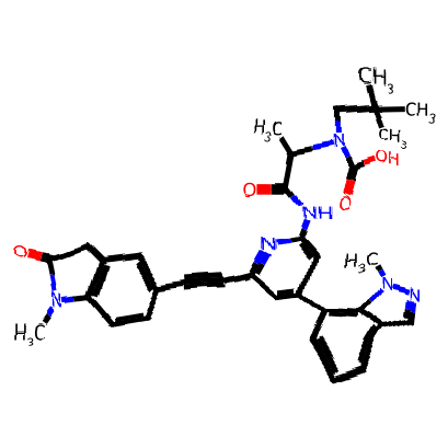 CC(C(=O)Nc1cc(-c2cccc3cnn(C)c23)cc(C#Cc2ccc3c(c2)CC(=O)N3C)n1)N(CC(C)(C)C)C(=O)O